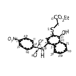 CCOC(=O)CSc1cc(NS(=O)(=O)c2ccc([N+](=O)[O-])cc2)c2ccccc2c1O